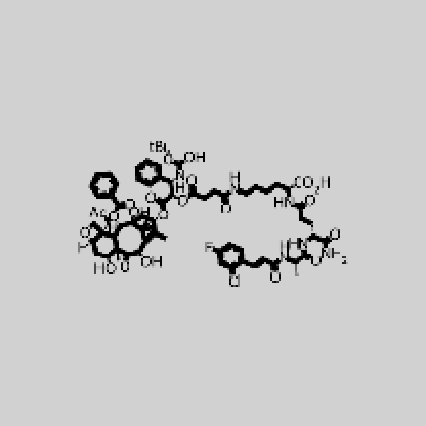 CC(=O)C[C@@]12CO[C@@H]1C[C@H](O)[C@@]1(C)C(=O)[C@H](O)C3=C(C)[C@@H](OC(=O)[C@H](OC(=O)CCC(=O)NCCCC[C@H](NC(=O)CC[C@@H](NC(=O)[C@H](C)NC(=O)/C=C/c4ccc(F)cc4Cl)C(N)=O)C(=O)O)[C@@H](NC(O)OC(C)(C)C)c4ccccc4)C[C@@](O)([C@@H](OC(=O)c4ccccc4)[C@H]21)C3(C)C